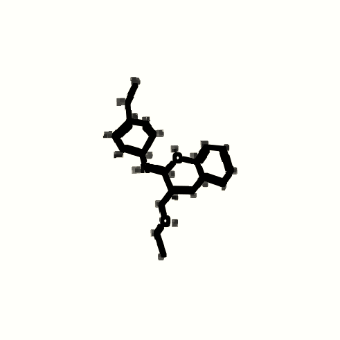 CCOCc1cc2ccccc2o/c1=N\c1ccc(CC)cc1